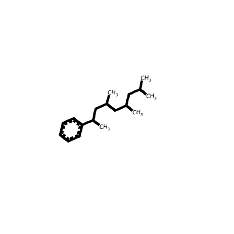 CC(C)CC(C)CC(C)CC(C)c1[c]cccc1